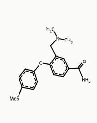 CSc1ccc(Oc2ccc(C(N)=O)cc2CN(C)C)cc1